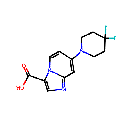 O=C(O)c1cnc2cc(N3CCC(F)(F)CC3)ccn12